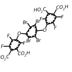 O=C(O)c1c(F)c(F)c(Oc2c(Br)c(Br)c(Oc3c(F)c(F)c(C(=O)O)c(C(=O)O)c3F)c(Br)c2Br)c(F)c1C(=O)O